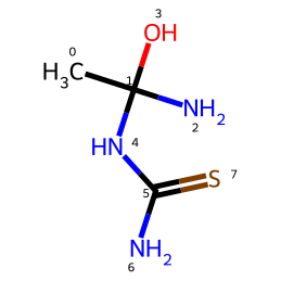 CC(N)(O)NC(N)=S